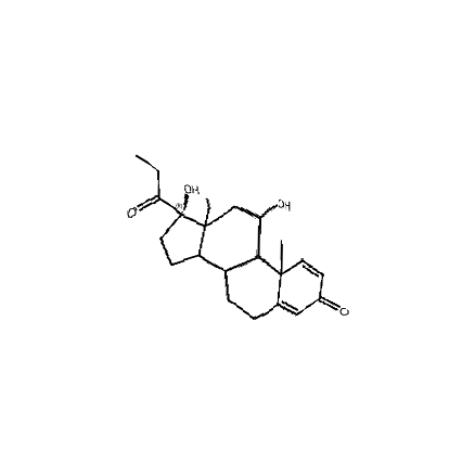 CCC(=O)[C@@]1(O)CCC2C3CCC4=CC(=O)C=CC4(C)C3C(O)CC21C